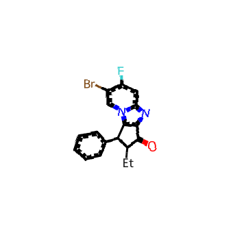 CCC1C(=O)c2nc3cc(F)c(Br)cn3c2C1c1ccccc1